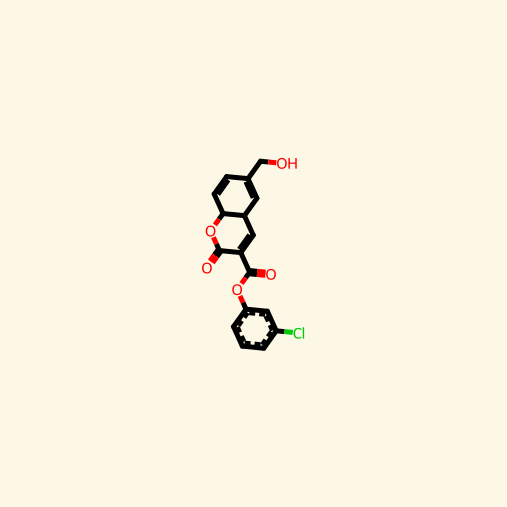 O=C(Oc1cccc(Cl)c1)C1=CC2C=C(CO)C=CC2OC1=O